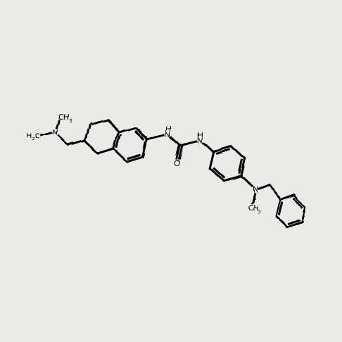 CN(C)CC1CCc2cc(NC(=O)Nc3ccc(N(C)Cc4ccccc4)cc3)ccc2C1